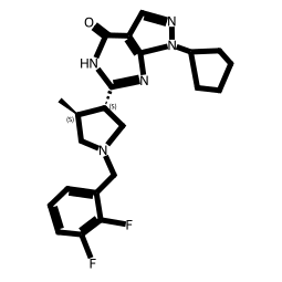 C[C@@H]1CN(Cc2cccc(F)c2F)C[C@H]1c1nc2c(cnn2C2CCCC2)c(=O)[nH]1